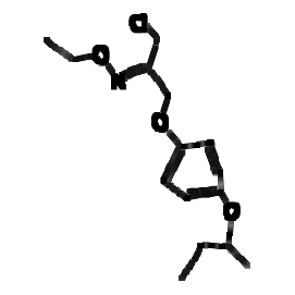 CCON=C(CCl)COc1ccc(OC(C)CC)cc1